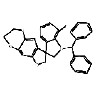 Fc1cccc2c1N(C(c1ccccc1)c1ccccc1)CC21COc2cc3c(cc21)OCCO3